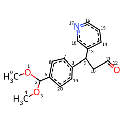 COC(OC)c1ccc(C(CC=O)c2cccnc2)cc1